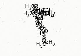 COC(=O)[C@H](COC(C)=O)NC(=O)[C@H](CO[Si](C)(C)C(C)(C)C)NC(=O)c1csc(N2CCC(C(=O)NCCCOC(C)C)CC2)n1